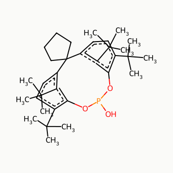 CC(C)(C)c1ccc2c(C(C)(C)C)c1OP(O)Oc1c(C(C)(C)C)ccc(c1C(C)(C)C)C21CCCC1